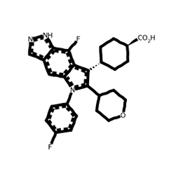 O=C(O)[C@H]1CC[C@H](c2c(C3CCOCC3)n(-c3ccc(F)cc3)c3cc4cn[nH]c4c(F)c32)CC1